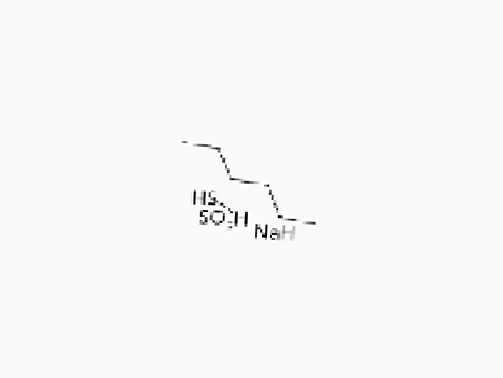 CCCCCC.O=S(=O)(O)S.[NaH]